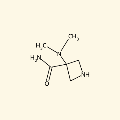 CN(C)C1(C(N)=O)CNC1